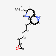 COc1ccc2nccc(CCCCCC3CO3)c2n1